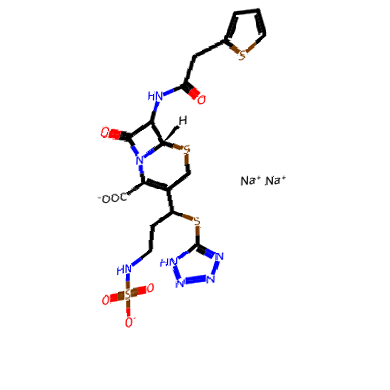 O=C(Cc1cccs1)NC1C(=O)N2C(C(=O)[O-])=C(C(CCNS(=O)(=O)[O-])Sc3nnn[nH]3)CS[C@@H]12.[Na+].[Na+]